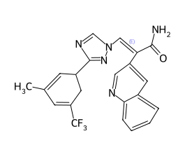 CC1=CC(c2ncn(/C=C(/C(N)=O)c3cnc4ccccc4c3)n2)CC(C(F)(F)F)=C1